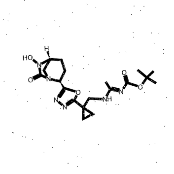 C/C(=N\C(=O)OC(C)(C)C)NCC1(c2nnc([C@@H]3CC[C@@H]4CN3C(=O)N4O)o2)CC1